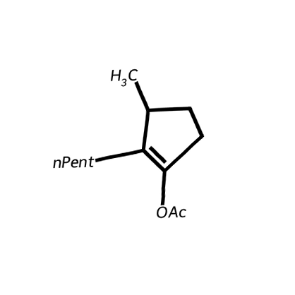 CCCCCC1=C(OC(C)=O)CCC1C